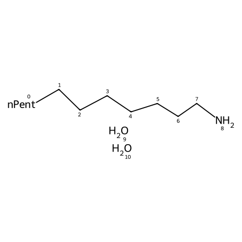 CCCCCCCCCCCCN.O.O